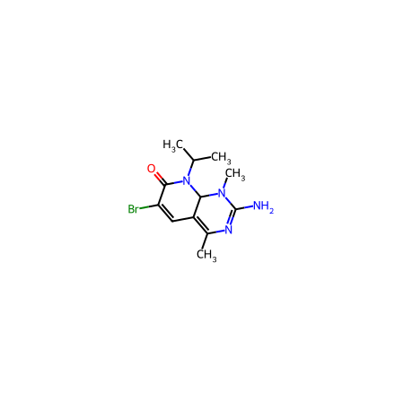 CC1=C2C=C(Br)C(=O)N(C(C)C)C2N(C)C(N)=N1